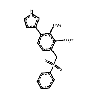 CCOC(=O)c1c(CS(=O)(=O)c2ccccc2)ccc(-c2cc[nH]n2)c1OC